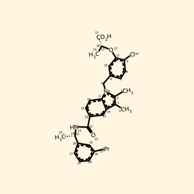 Cc1c(C)n(Cc2ccc(Cl)c(O[C@H](C)C(=O)O)c2)c2ccc(C(=O)N[C@@H](C)c3cccc(C(C)C)c3)cc12